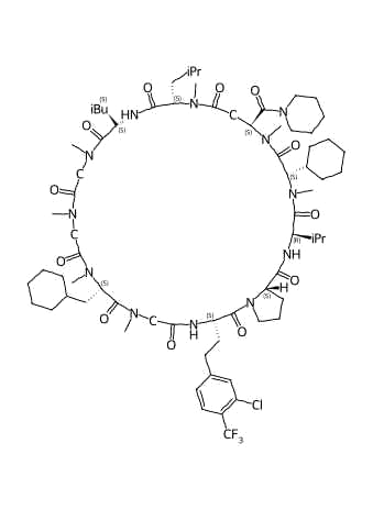 CC[C@H](C)[C@@H]1NC(=O)[C@H](CC(C)C)N(C)C(=O)C[C@@H](C(=O)N2CCCCC2)N(C)C(=O)[C@H](C2CCCCC2)N(C)C(=O)[C@@H](C(C)C)NC(=O)[C@@H]2CCCN2C(=O)[C@H](CCc2ccc(C(F)(F)F)c(Cl)c2)NC(=O)CN(C)C(=O)[C@H](CC2CCCCC2)N(C)C(=O)CN(C)C(=O)CN(C)C1=O